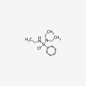 CCN[Si](Cl)(c1ccccc1)N(CC)CC